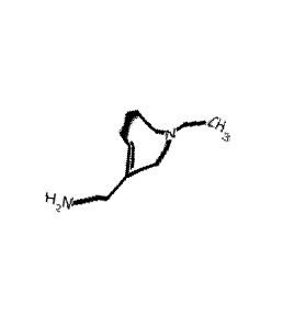 CN1CC=C(CN)C1